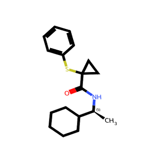 C[C@H](NC(=O)C1(Sc2ccccc2)CC1)C1CCCCC1